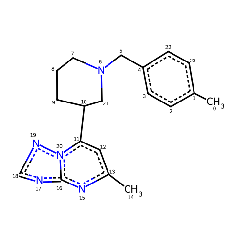 Cc1ccc(CN2CCCC(c3cc(C)nc4ncnn34)C2)cc1